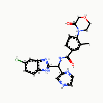 Cc1cc(C(=O)NC(c2cnccn2)c2nc3cc(Cl)ccc3[nH]2)ccc1N1CCOCC1=O